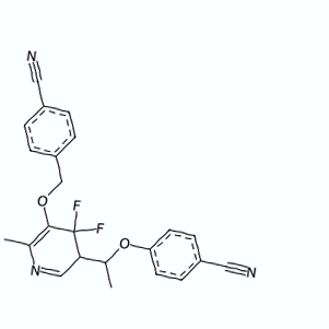 CC1=C(OCc2ccc(C#N)cc2)C(F)(F)C(C(C)Oc2ccc(C#N)cc2)C=N1